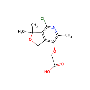 Cc1nc(Cl)c2c(c1OCC(=O)O)COC2(C)C